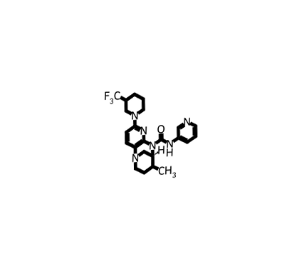 CC1CCN2C[C@H]1N(C(=O)Nc1cccnc1)c1nc(N3CCCC(C(F)(F)F)C3)ccc12